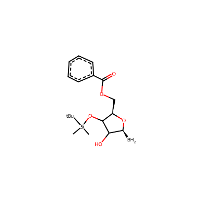 B[C@@H]1O[C@H](COC(=O)c2ccccc2)C(O[Si](C)(C)C(C)(C)C)C1O